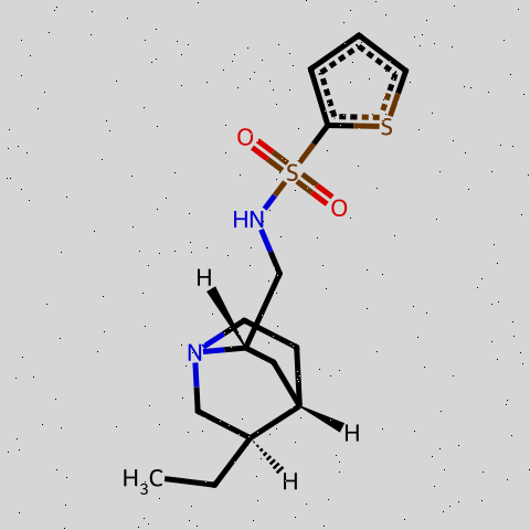 CC[C@H]1CN2CC[C@H]1C[C@H]2CNS(=O)(=O)c1cccs1